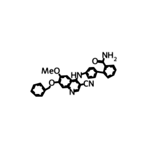 COc1cc2c(Nc3ccc(-c4ccccc4C(N)=O)cc3)c(C#N)cnc2cc1OCc1ccccc1